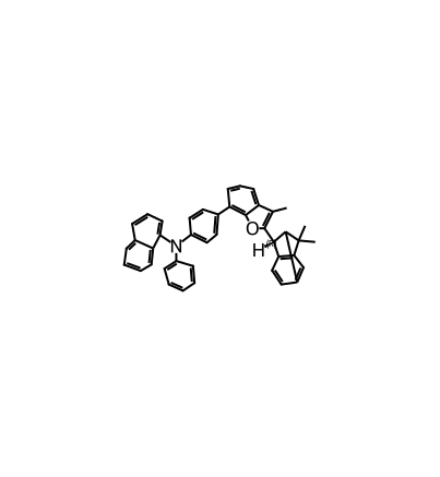 Cc1c([C@H]2c3ccc4cc3C(C)(C)C42)oc2c(-c3ccc(N(c4ccccc4)c4cccc5ccccc45)cc3)cccc12